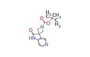 CC(C)(C)OC(=O)N1CC2(C1)C(=O)Nc1ccncc12